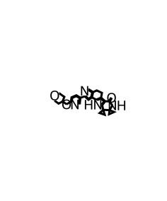 O=C1NC2(CC2)C2(CC2)c2[nH]c3c(c21)CCc1cnc(-c2ccc(OC4CCOCC4)nc2)cc1-3